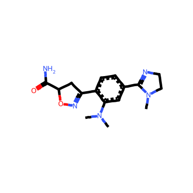 CN1CCN=C1c1ccc(C2=NOC(C(N)=O)C2)c(N(C)C)c1